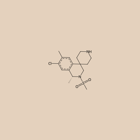 Cc1cc2c(cc1Cl)[C@@H](C)N(S(C)(=O)=O)CC21CCNCC1